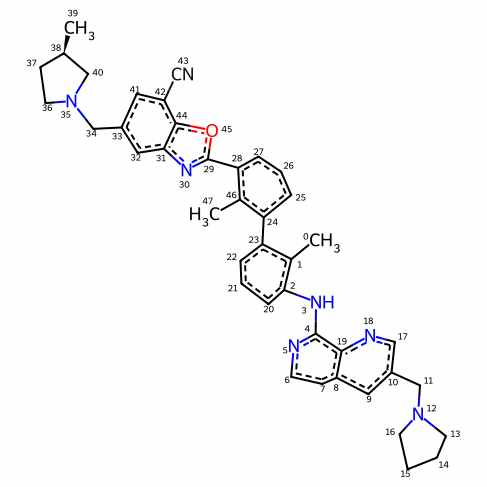 Cc1c(Nc2nccc3cc(CN4CCCC4)cnc23)cccc1-c1cccc(-c2nc3cc(CN4CC[C@@H](C)C4)cc(C#N)c3o2)c1C